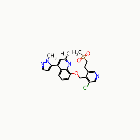 Cc1cc(-c2ccnn2C)c2cccc(OCc3c(Cl)cncc3CCS(C)(=O)=O)c2n1